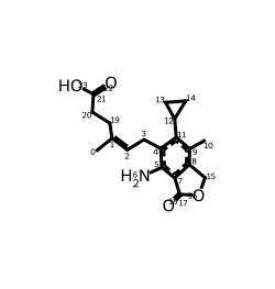 CC(=CCc1c(N)c2c(c(C)c1C1CC1)COC2=O)CCC(=O)O